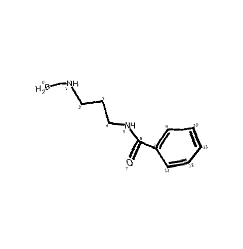 BNCCCNC(=O)c1ccccc1